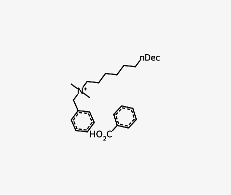 CCCCCCCCCCCCCCCC[N+](C)(C)Cc1ccccc1.O=C(O)c1ccccc1